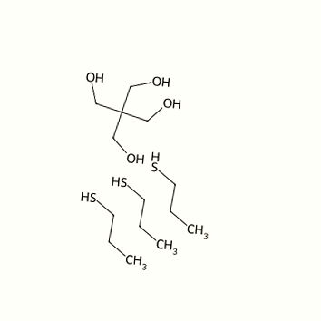 CCCS.CCCS.CCCS.OCC(CO)(CO)CO